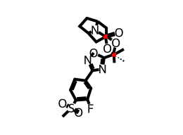 CC(C)OC(=O)N1C2CCC1CC(O[C@H](C)c1nc(-c3ccc(S(C)(=O)=O)c(F)c3)no1)C2